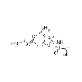 CCOC(=O)Cc1nc(NC(=O)CBr)sc1CC